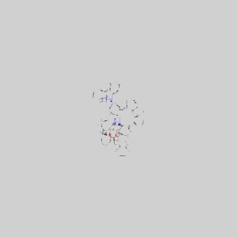 c1ccc2c(c1)Oc1cc3c4ccccc4c4ccccc4c4cc(-n5c6ccccc6c6ccccc65)cc5c6ccccc6n(c3c3c1B2c1ccccc1O3)c45